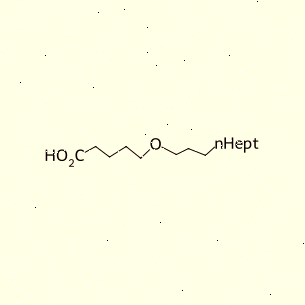 CCCCCCCCCCOCCCCC(=O)O